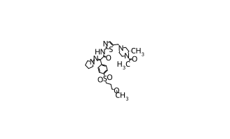 COCCCS(=O)(=O)c1ccc(/C(=N\N2CCCC2)C(=O)Nc2ncc(CN3CCN(C(C)=O)[C@@H](C)C3)s2)cc1